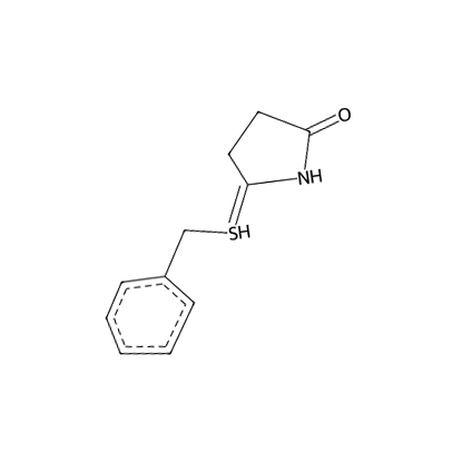 O=C1CCC(=[SH]Cc2ccccc2)N1